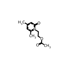 CC(=O)OCCn1c(C)cc(C)cc1=O